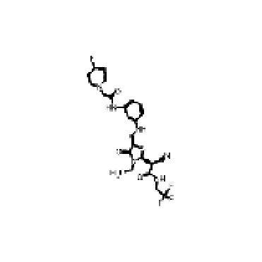 CCn1c(=C(C#N)C(=O)NCC(F)(F)F)sc(=CNc2cccc(NC(=O)CN3CCC(F)CC3)c2)c1=O